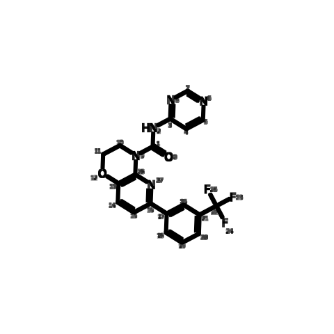 O=C(Nc1ccncn1)N1CCOc2ccc(-c3cccc(C(F)(F)F)c3)nc21